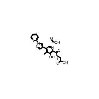 Cc1c(-c2cnn(-c3ccccn3)c2)cnc(C(=O)NCC(=O)O)c1O.O=CO